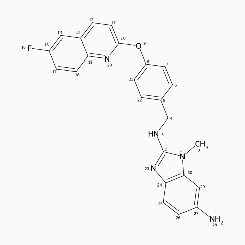 Cn1c(NCc2ccc(Oc3ccc4cc(F)ccc4n3)cc2)nc2ccc(N)cc21